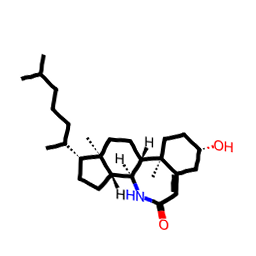 CC(C)CCCC(C)[C@H]1CC[C@H]2[C@@H]3NC(=O)C=C4C[C@@H](O)CC[C@]4(C)[C@H]3CC[C@]12C